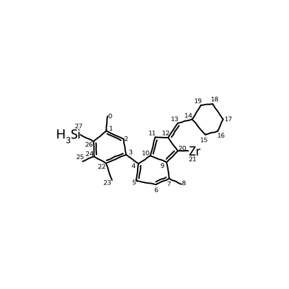 Cc1cc(-c2ccc(C)c3c2=CC(=CC2CCCCC2)[C]=3[Zr])c(C)c(C)c1[SiH3]